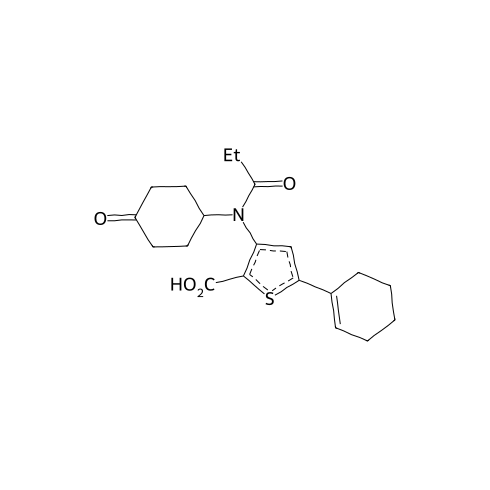 CCC(=O)N(c1cc(C2=CCCCC2)sc1C(=O)O)C1CCC(=O)CC1